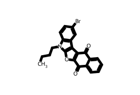 CCCCn1c2ccc(Br)cc2c2c3c(oc21)C(=O)c1ccccc1C3=O